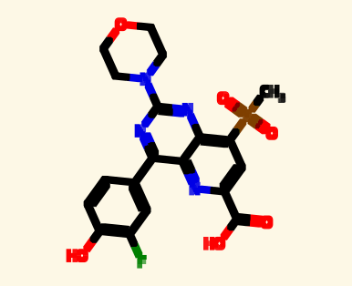 CS(=O)(=O)c1cc(C(=O)O)nc2c(-c3ccc(O)c(F)c3)nc(N3CCOCC3)nc12